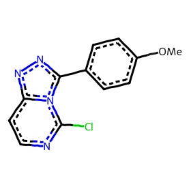 COc1ccc(-c2nnc3ccnc(Cl)n23)cc1